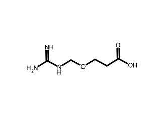 N=C(N)NCOCCC(=O)O